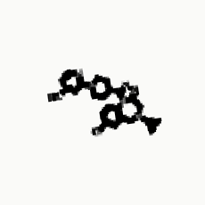 N#Cc1ccnc(N2CCC(c3nnc4n3-c3ccc(Cl)cc3CN(C3CC3)C4)CC2)c1